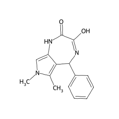 Cc1c2c(cn1C)NC(=O)C(O)=NC2c1ccccc1